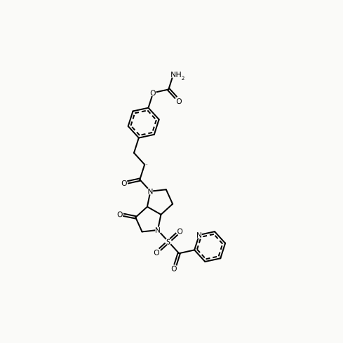 NC(=O)Oc1ccc(C[CH]C(=O)N2CCC3C2C(=O)CN3S(=O)(=O)C(=O)c2ccccn2)cc1